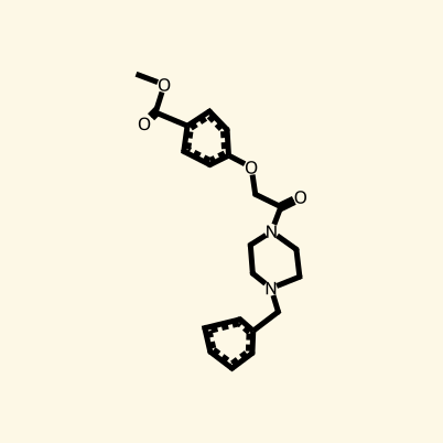 COC(=O)c1ccc(OCC(=O)N2CCN(Cc3ccccc3)CC2)cc1